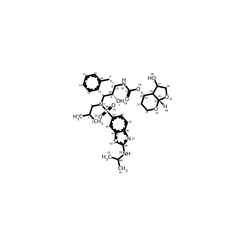 CC(C)CN(C[C@@H](O)[C@H](Cc1ccccc1)NC(=O)O[C@H]1CCO[C@H]2OCC(O)C21)S(=O)(=O)c1ccc2nc(NC(C)C)sc2c1